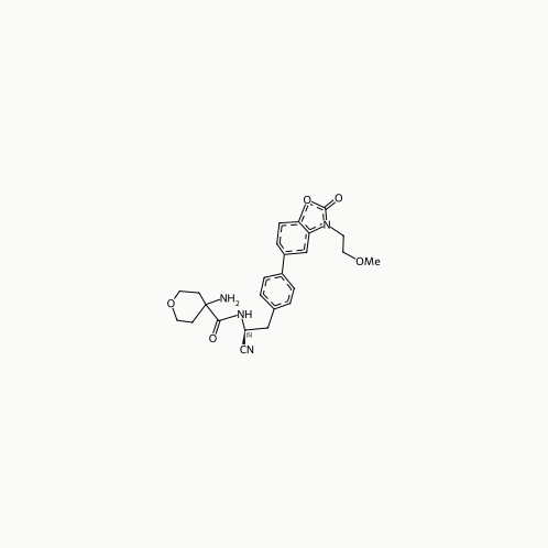 COCCn1c(=O)oc2ccc(-c3ccc(C[C@@H](C#N)NC(=O)C4(N)CCOCC4)cc3)cc21